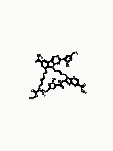 CCn1nc(C)cc1C(=O)Nc1nc2cc(C(N)=O)cnc2n1C/C=C/Cn1c2nc(-c3cc(C)nn3CC)ncc2c2cc(C(N)=O)cc(OCCOCCN(C)C(=O)OC(C)(C)C)c21